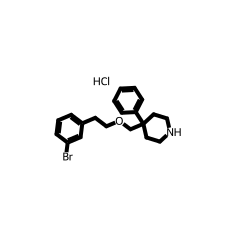 Brc1cccc(CCOCC2(c3ccccc3)CCNCC2)c1.Cl